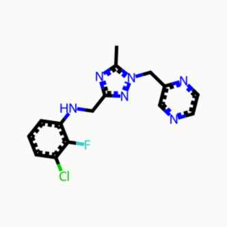 Cc1nc(CNc2cccc(Cl)c2F)nn1Cc1cnccn1